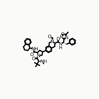 CN[C@H](C(=O)N1CC(c2ccc3c(c2)CN(C=O)C(C(=O)N[C@@H](Cc2ccccc2)c2noc(C)n2)C3)CC1C(=O)NC1CCCc2ccccc21)C(C)(C)C